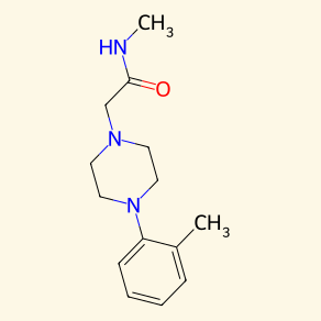 CNC(=O)CN1CCN(c2ccccc2C)CC1